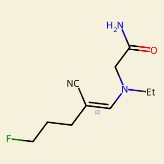 CCN(/C=C(\C#N)CCCF)CC(N)=O